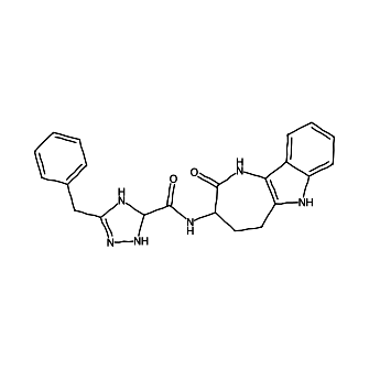 O=C1Nc2c([nH]c3ccccc23)CCC1NC(=O)C1NN=C(Cc2ccccc2)N1